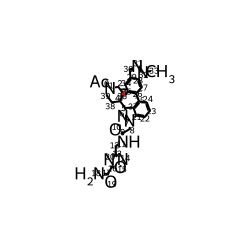 CC(=O)N1CCC(c2nn(CC(=O)NCc3noc(C(N)=O)n3)c3cccc(-c4cc5c(cnn5C)cc4F)c23)CC1